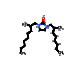 CCCCCCCC(C)CN1CCN(CC(C)CCCCCC)C1=O